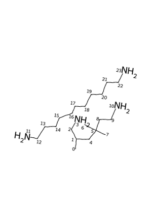 CC(CN)CC(C)(C)CCN.NCCCCCCCCCCCN